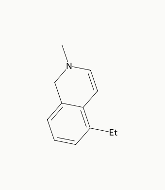 CCc1cccc2c1C=CN(C)C2